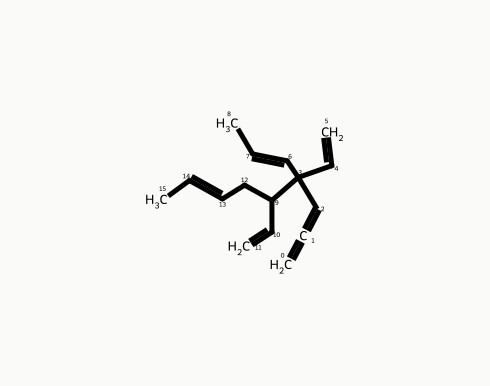 C=C=CC(C=C)(C=CC)C(C=C)CC=CC